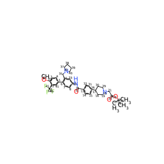 COc1ccc(-c2ccc(NC(=O)c3ccc(C4CCN(CC(=O)OC(C)(C)C)CC4)cc3)cc2CN2CCCC2)cc1C(F)(F)F